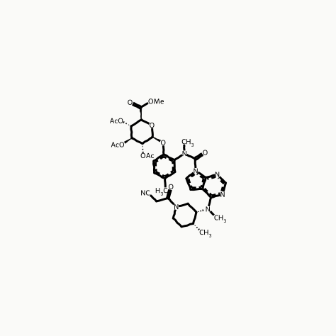 COC(=O)[C@H]1O[C@@H](Oc2ccc(C)cc2N(C)C(=O)n2ccc3c(N(C)[C@H]4CN(C(=O)CC#N)CC[C@H]4C)ncnc32)[C@H](OC(C)=O)[C@@H](OC(C)=O)[C@@H]1OC(C)=O